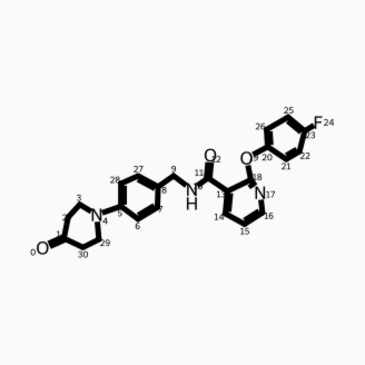 O=C1CCN(c2ccc(CNC(=O)c3cccnc3Oc3ccc(F)cc3)cc2)CC1